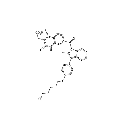 Cc1c(-c2ccc(OCCCCCCl)cc2)c2ccccn2c1C(=O)c1ccc2c(=O)n(CC(=O)O)c(=O)[nH]c2c1